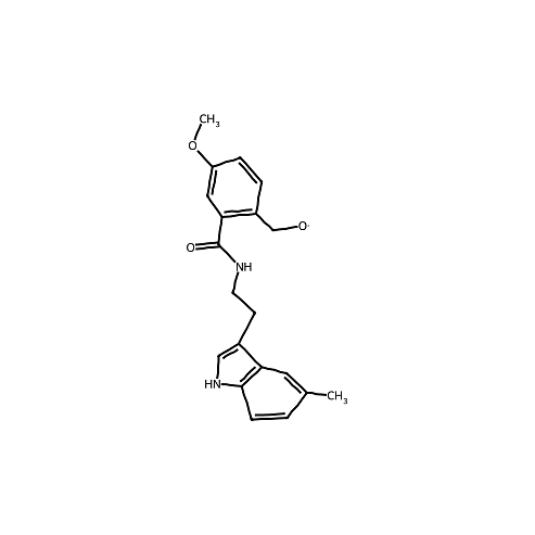 COc1ccc(C[O])c(C(=O)NCCc2c[nH]c3ccc(C)cc23)c1